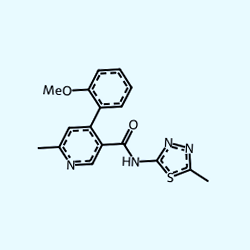 COc1ccccc1-c1cc(C)ncc1C(=O)Nc1nnc(C)s1